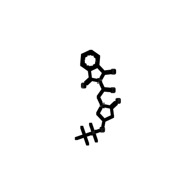 CC(C)(C)[Si](C)(C)OC1CC(=O)N(CC(=O)N2C(=O)c3ccccc3C2=O)C1